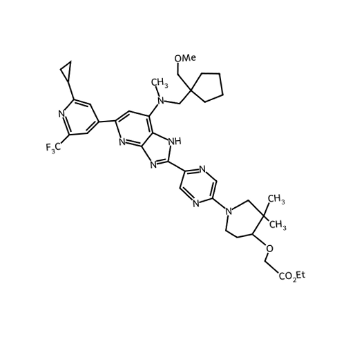 CCOC(=O)COC1CCN(c2cnc(-c3nc4nc(-c5cc(C6CC6)nc(C(F)(F)F)c5)cc(N(C)CC5(COC)CCCC5)c4[nH]3)cn2)CC1(C)C